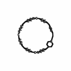 C1CC2CCC1CN1CCC(CC1)C1CCN(CC1)CC1CCC(CC1)C1CCC(CC1)CN1CCC(CC1)C1CCN(CC1)CC1CCC2CC1